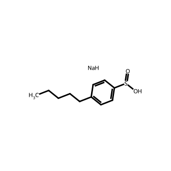 CCCCCc1ccc(S(=O)O)cc1.[NaH]